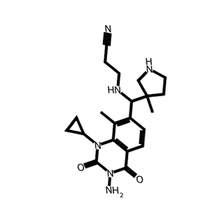 Cc1c(C(NCCC#N)C2(C)CCNC2)ccc2c(=O)n(N)c(=O)n(C3CC3)c12